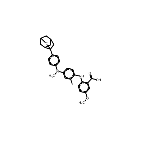 COc1ccc(Nc2ccc(N(C)c3ccc(C45CC6CC(CC4C6)C5)cc3)cc2F)c(C(=O)O)c1